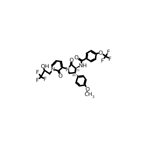 COc1ccc([C@@H]2CN(c3cccn(CC(O)C(F)(F)F)c3=O)C(=O)[C@H]2NC(=O)c2ccc(OC(F)(F)F)cc2)cc1